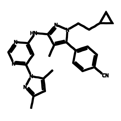 Cc1cc(C)n(-c2cc(Nc3nn(CCC4CC4)c(-c4ccc(C#N)cc4)c3C)ncn2)n1